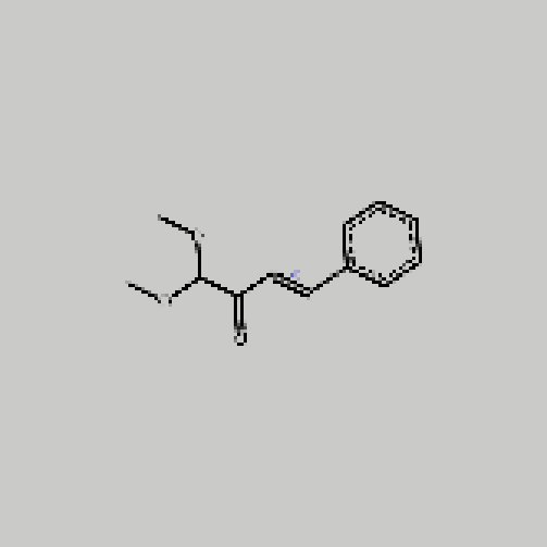 COC(OC)C(=O)/C=C/c1ccccc1